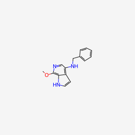 COc1ncc(NCc2ccccc2)c2cc[nH]c12